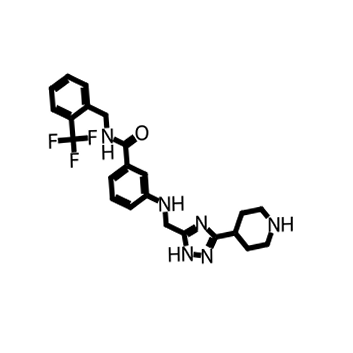 O=C(NCc1ccccc1C(F)(F)F)c1cccc(NCc2nc(C3CCNCC3)n[nH]2)c1